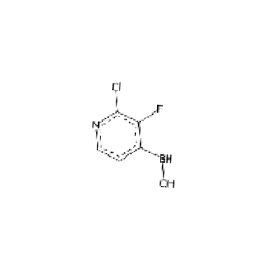 OBc1ccnc(Cl)c1F